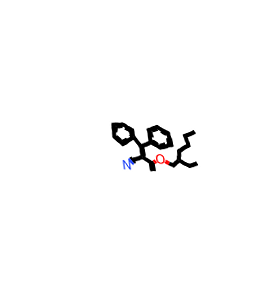 C=C(OCC(CC)CCCC)C(C#N)=C(c1ccccc1)c1ccccc1